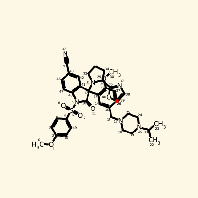 COc1ccc(S(=O)(=O)N2C(=O)C(c3cc(CN4CCN(C(C)C)CC4)ccc3OC)(N3CCCC3c3ncco3)c3cc(C#N)ccc32)cc1